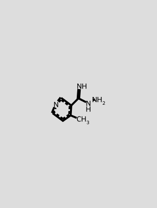 Cc1ccncc1C(=N)NN